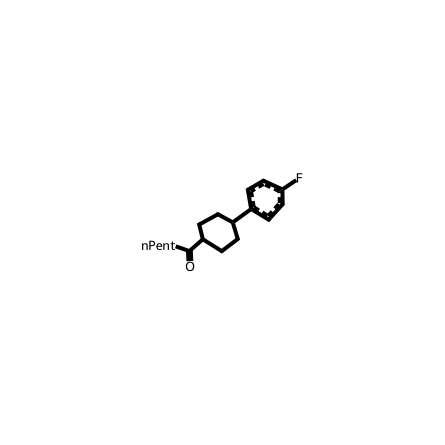 CCCCCC(=O)C1CCC(c2ccc(F)cc2)CC1